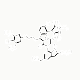 Cc1cc(OCCCc2c3n(c4c(-c5c(C)nn(C)c5C)c(Cl)ccc24)[C@H](C)CN(c2cc(CO)cc4cc(C(=O)O)[nH]c24)C3=O)cc(C)c1Cl